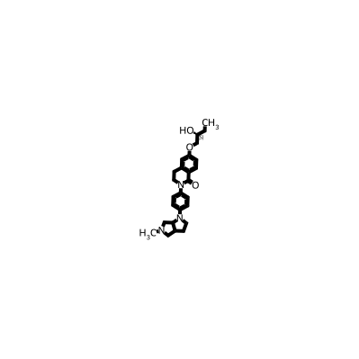 CC[C@H](O)COc1ccc2c(c1)CCN(c1ccc(N3CCC4CN(C)CC43)cc1)C2=O